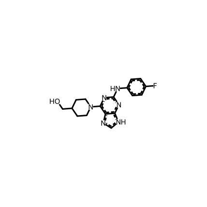 OCC1CCN(c2nc(Nc3ccc(F)cc3)nc3[nH]cnc23)CC1